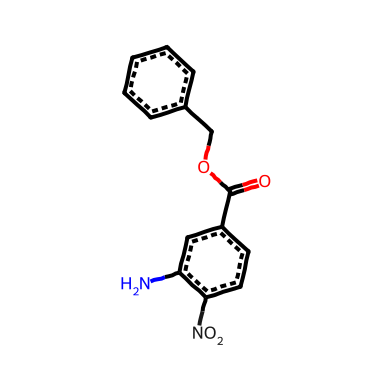 Nc1cc(C(=O)OCc2ccccc2)ccc1[N+](=O)[O-]